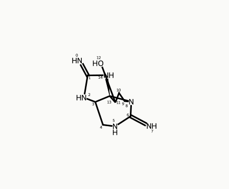 N=C1NC2CNC(=N)N3CCC(O)[C@]23N1